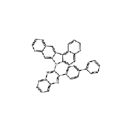 c1ccc(-c2ccc(-c3nc4ccccc4nc3-n3c4cc5ccccc5cc4c4c5ccccc5ccc43)cc2)cc1